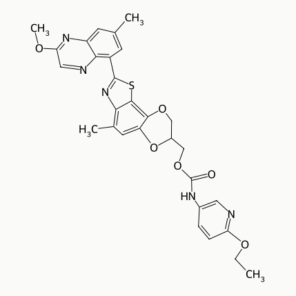 CCOc1ccc(NC(=O)OCC2COc3c(cc(C)c4nc(-c5cc(C)cc6nc(OC)cnc56)sc34)O2)cn1